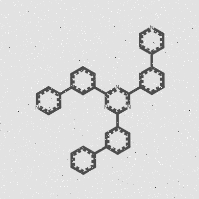 c1ccc(-c2cccc(-c3nc(-c4cccc(-c5ccncc5)c4)nc(-c4cccc(-c5ccncc5)c4)n3)c2)cc1